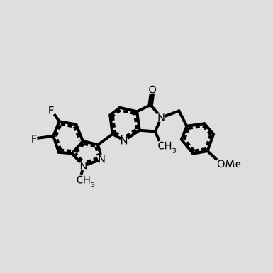 COc1ccc(CN2C(=O)c3ccc(-c4nn(C)c5cc(F)c(F)cc45)nc3C2C)cc1